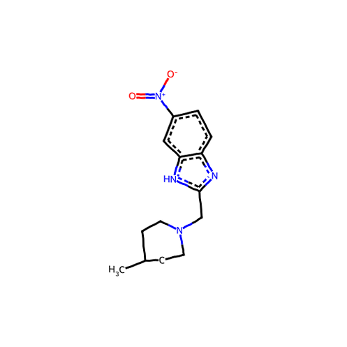 CC1CCN(Cc2nc3ccc([N+](=O)[O-])cc3[nH]2)CC1